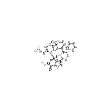 CCOC(=O)c1cnn(C2CCCN(C3=C(c4ccccc4)C=CC(Cl)(N4CCN(CC5CC5)CC4)C3)C2)c1C(F)(F)F